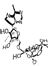 Cc1ncnn2c([C@@H]3O[C@H](COP(=O)(O)OP(=O)(O)OP(=O)(O)O)[C@@H](O)[C@@]3(C)O)cnc12